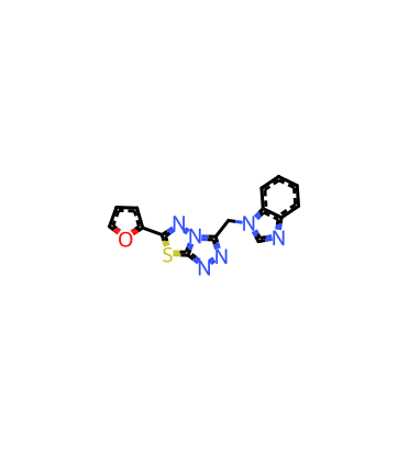 c1coc(-c2nn3c(Cn4cnc5ccccc54)nnc3s2)c1